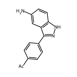 CC(=O)c1ccc(-c2n[nH]c3ccc(N)cc23)cc1